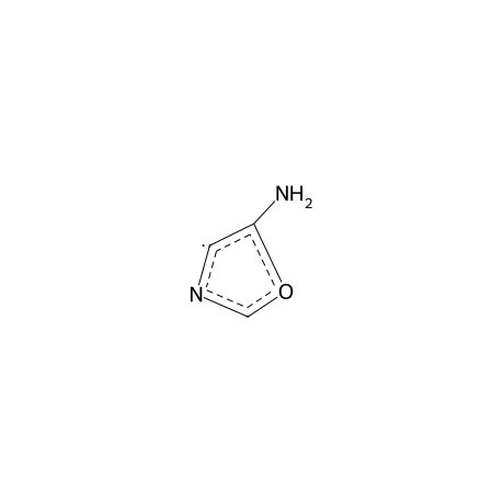 Nc1[c]nco1